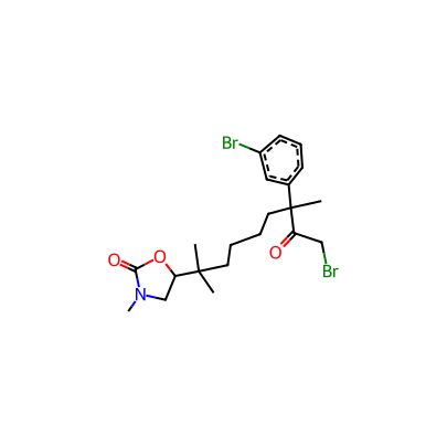 CN1CC(C(C)(C)CCCCC(C)(C(=O)CBr)c2cccc(Br)c2)OC1=O